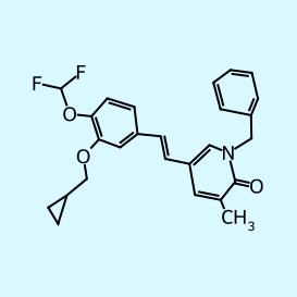 Cc1cc(/C=C/c2ccc(OC(F)F)c(OCC3CC3)c2)cn(Cc2ccccc2)c1=O